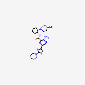 Nc1ncc(-c2csc(N3CCCCC3)n2)nc1C(=O)Nc1ncccc1N1CCC(N)CC1